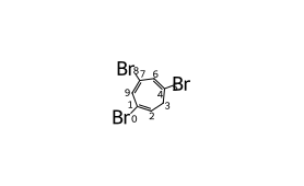 BrC1=CCC(Br)=CC(Br)=C1